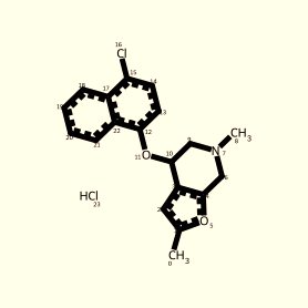 Cc1cc2c(o1)CN(C)CC2Oc1ccc(Cl)c2ccccc12.Cl